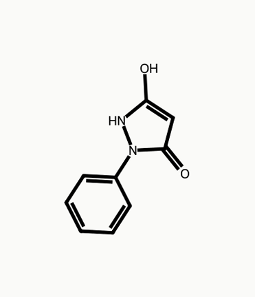 O=c1cc(O)[nH]n1-c1ccccc1